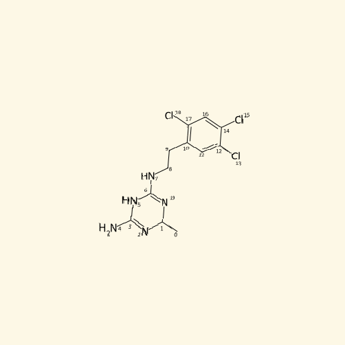 CC1N=C(N)NC(NCCc2cc(Cl)c(Cl)cc2Cl)=N1